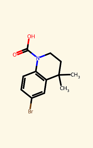 CC1(C)CCN(C(=O)O)c2ccc(Br)cc21